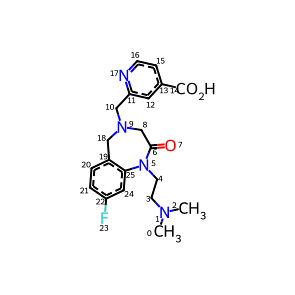 CN(C)CCN1C(=O)CN(Cc2cc(C(=O)O)ccn2)Cc2ccc(F)cc21